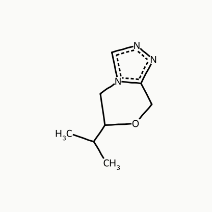 CC(C)C1Cn2cnnc2CO1